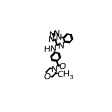 CC1COCCN1C(=O)c1ccc(Nc2nc3ccccc3n3nnnc23)cc1